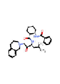 CC(C)C[C@H](NC(=O)[C@@H]1CCCC[C@@H]1NC(=O)c1ccccc1)C(=O)CN1CCCc2ccccc2C1